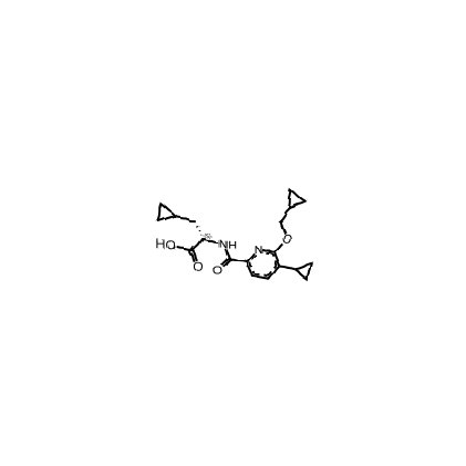 O=C(N[C@@H](CC1CC1)C(=O)O)c1ccc(C2CC2)c(OCC2CC2)n1